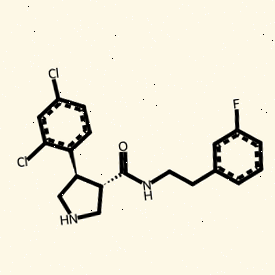 O=C(NCCc1cccc(F)c1)[C@@H]1CNC[C@H]1c1ccc(Cl)cc1Cl